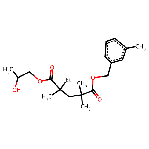 CCC(C)(CC(C)(C)C(=O)OCc1cccc(C)c1)C(=O)OCC(C)O